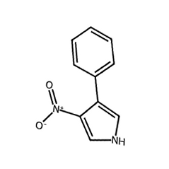 O=[N+]([O-])c1c[nH]cc1-c1ccccc1